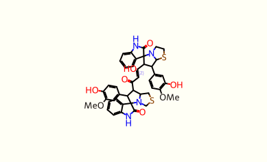 COc1ccc(C2C3SCCN3C3(C(=O)Nc4ccccc43)C2/C(O)=C/C(=O)C2C3CSCN3C3(C(=O)Nc4ccccc43)C2c2ccc(O)c(OC)c2)cc1O